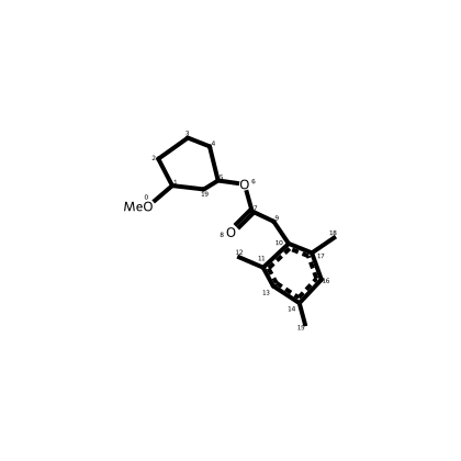 COC1CCCC(OC(=O)Cc2c(C)cc(C)cc2C)C1